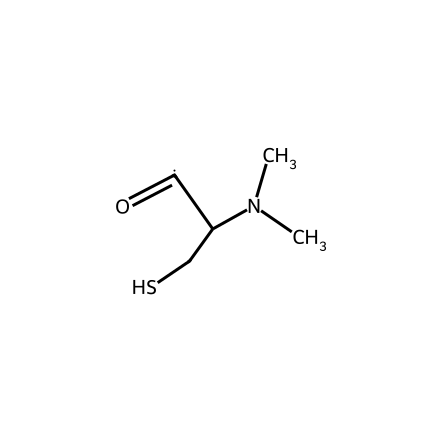 CN(C)C([C]=O)CS